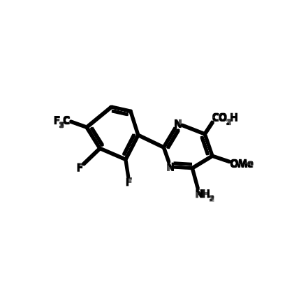 COc1c(N)nc(-c2ccc(C(F)(F)F)c(F)c2F)nc1C(=O)O